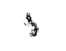 N[C@H](Cc1cc(F)c(F)cc1F)C1CCN(C(=O)CCNC(=O)C2CCC(=O)N2)CC1